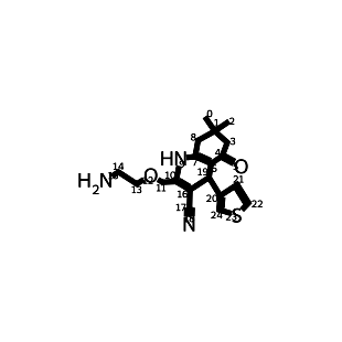 CC1(C)CC(=O)C2=C(C1)NC(COCCN)=C(C#N)C2c1ccsc1